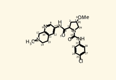 CO[C@@H]1CC(C(=O)Nc2cnc3c(c2)CCN(C)C3)N(C(=O)Nc2ccc(Cl)cc2)C1